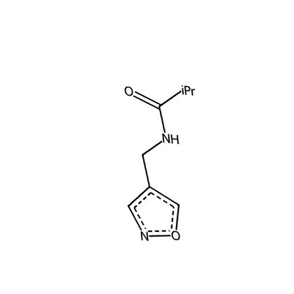 CC(C)C(=O)NCc1cnoc1